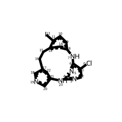 Clc1cnc2nc1Nc1ccc(I)c(c1)CCc1cncc(c1)N2